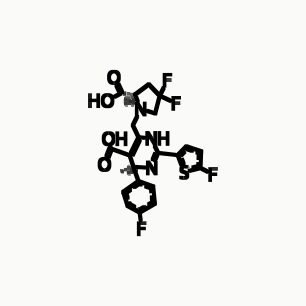 C[C@@]1(c2ccc(F)cc2)N=C(c2ccc(F)s2)NC(CN2CC(F)(F)C[C@H]2C(=O)O)=C1C(=O)O